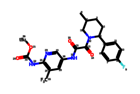 CC1CCC(c2ccc(F)cc2)N(C(=O)C(=O)Nc2cnc(NC(=O)OC(C)(C)C)c(C(F)(F)F)c2)C1